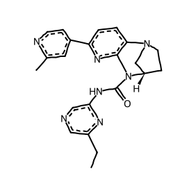 CCc1cncc(NC(=O)N2c3nc(-c4ccnc(C)c4)ccc3N3CC[C@H]2C3)n1